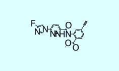 C#Cc1ccc(C(=O)OC)c(NC(=O)c2ccc(-n3cnc(F)c3)nn2)c1